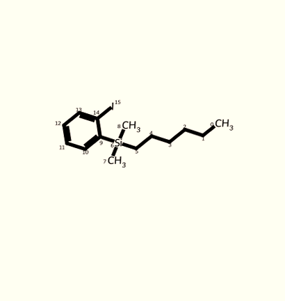 CCCCCC[Si](C)(C)c1ccccc1I